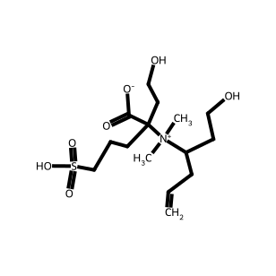 C=CCC(CCO)[N+](C)(C)C(CCO)(CCCS(=O)(=O)O)C(=O)[O-]